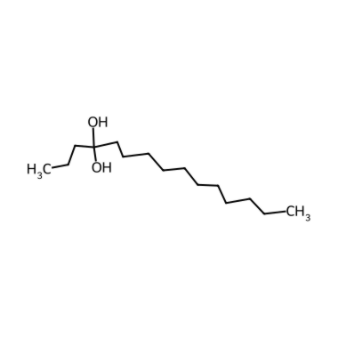 CCCCCCCCCCCC(O)(O)CCC